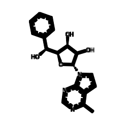 Cc1ncnc2c1ccn2[C@@H]1O[C@@H]([C@@H](O)c2ccccc2)[C@@H](O)C1O